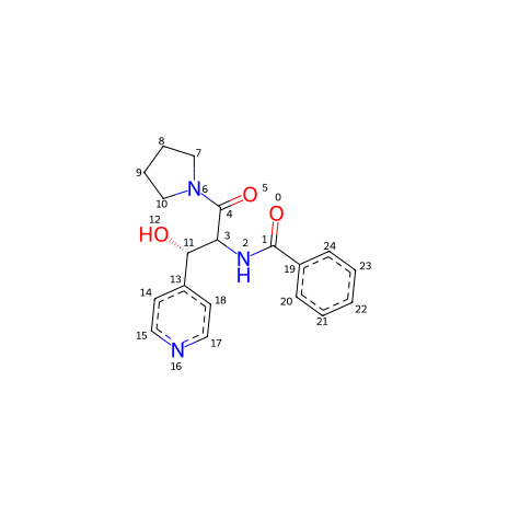 O=C(NC(C(=O)N1CCCC1)[C@@H](O)c1ccncc1)c1ccccc1